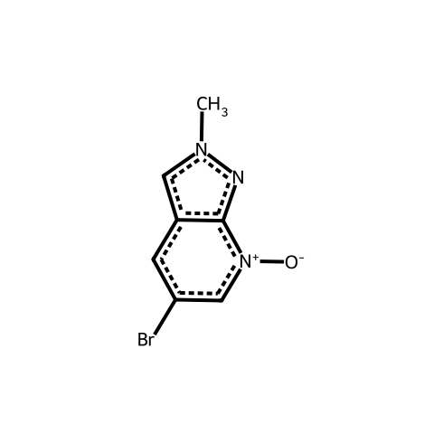 Cn1cc2cc(Br)c[n+]([O-])c2n1